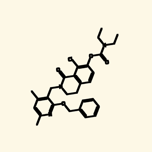 CCN(CC)C(=O)Oc1ccc2c(c1Cl)C(=O)N(Cc1c(C)cc(C)nc1OCc1ccccc1)CC2